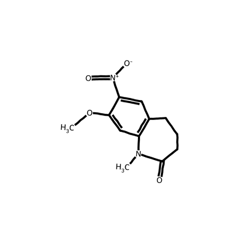 COc1cc2c(cc1[N+](=O)[O-])CCCC(=O)N2C